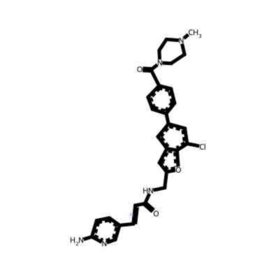 CN1CCN(C(=O)c2ccc(-c3cc(Cl)c4oc(CNC(=O)/C=C/c5ccc(N)nc5)cc4c3)cc2)CC1